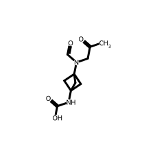 CC(=O)CN(C=O)C12CC(NC(=O)O)(C1)C2